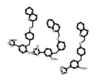 COc1cc(-c2nnn[nH]2)ccc1Cc1ccc(OCc2ccc3ccccc3n2)cc1.COc1cc(-c2nnn[nH]2)ccc1Cc1cccc(OCc2ccc3ccccc3n2)c1.COc1ccc(-c2nnn[nH]2)cc1Cc1ccc(OCc2ccc3ccccc3n2)cc1